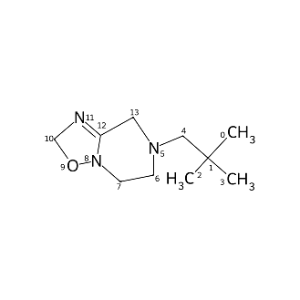 CC(C)(C)CN1CCN2OCN=C2C1